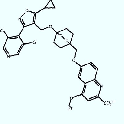 CC(C)Oc1cc(C(=O)O)nc2ccc(OCC34CCC(OCc5c(-c6c(Cl)cncc6Cl)noc5C5CC5)(CC3)CC4)cc12